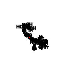 CC(C)C[C@H](NC(=O)[C@H](CCc1ccccc1)NC(=O)c1ccc(OC(=O)N2CCN(Cc3ccc(-n4c(O)nnc4-c4cc(C(C)C)c(O)cc4O)cc3)CC2)cc1)C(=O)N[C@@H](Cc1ccccc1)C(=O)N[C@@H](CC(C)C)C(=O)[C@@]1(C)CO1